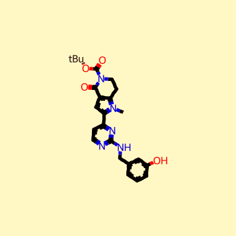 Cn1c(-c2ccnc(NCc3cccc(O)c3)n2)cc2c1CCN(C(=O)OC(C)(C)C)C2=O